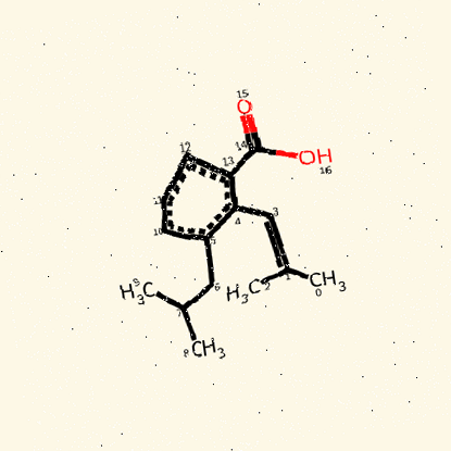 CC(C)=Cc1c(CC(C)C)cccc1C(=O)O